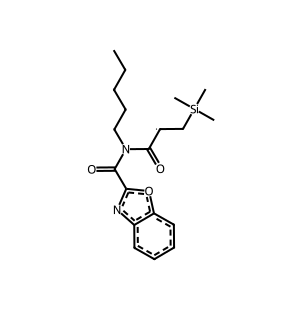 CCCCCN(C(=O)[CH]C[Si](C)(C)C)C(=O)c1nc2ccccc2o1